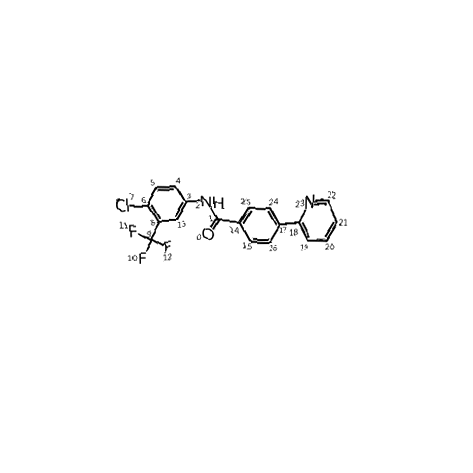 O=C(Nc1ccc(Cl)c(C(F)(F)F)c1)c1ccc(-c2ccccn2)cc1